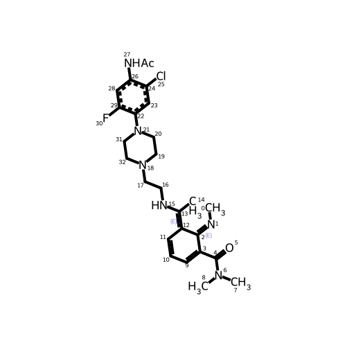 C/N=C1/C(C(=O)N(C)C)=CC=C/C1=C(/C)NCCN1CCN(c2cc(Cl)c(NC(C)=O)cc2F)CC1